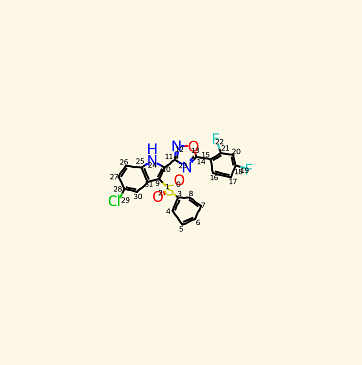 O=S(=O)(c1ccccc1)c1c(-c2noc(-c3ccc(F)cc3F)n2)[nH]c2ccc(Cl)cc12